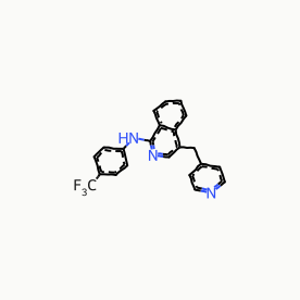 FC(F)(F)c1ccc(Nc2ncc(Cc3ccncc3)c3ccccc23)cc1